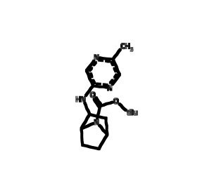 Cc1cnc(NC2CC3CCC2N3C(=O)OC(C)(C)C)cn1